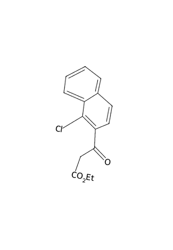 CCOC(=O)CC(=O)c1ccc2ccccc2c1Cl